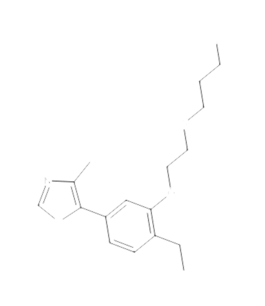 CCc1ccc(-c2scnc2C)cc1OCCOCCCO